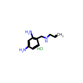 C=CCNCc1ccc(N)cc1N.Cl